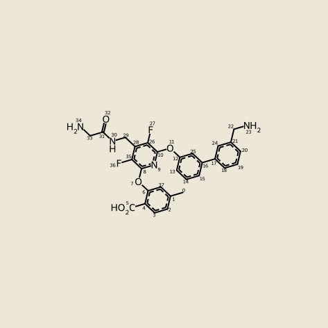 Cc1ccc(C(=O)O)c(Oc2nc(Oc3cccc(-c4cccc(CN)c4)c3)c(F)c(CNC(=O)CN)c2F)c1